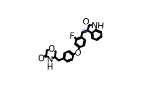 O=C1COCC(Cc2ccc(Oc3ccc(/C=C4/C(=O)Nc5ccccc54)c(F)c3)cc2)N1